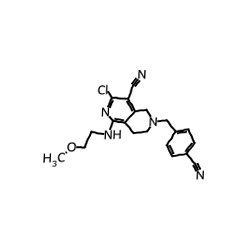 COCCNc1nc(Cl)c(C#N)c2c1CCN(Cc1ccc(C#N)cc1)C2